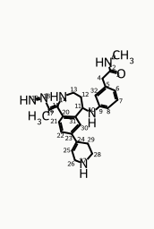 CNC(=O)Cc1cccc(NC2CCN/C(=C(/C)N=N)c3ccc(C4=CCNCC4)cc32)c1